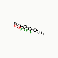 C=Cc1ccc(-c2ccc(-c3ccc(C4CCC(OCC)CO4)c(F)c3F)c(F)c2F)cc1